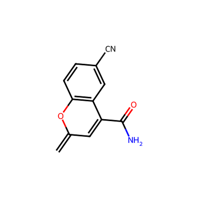 C=C1C=C(C(N)=O)c2cc(C#N)ccc2O1